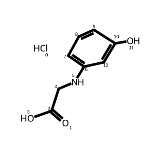 Cl.O=C(O)CNc1cccc(O)c1